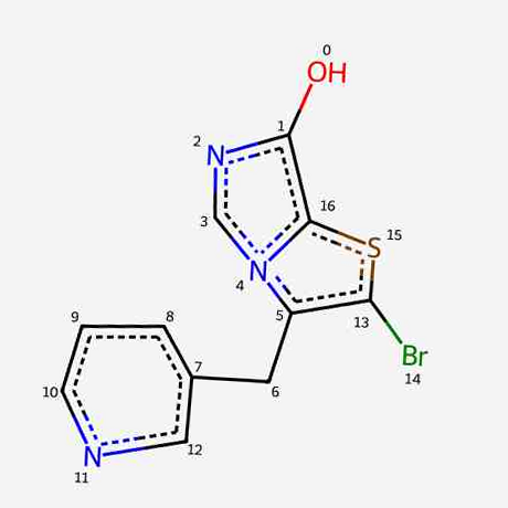 Oc1ncn2c(Cc3cccnc3)c(Br)sc12